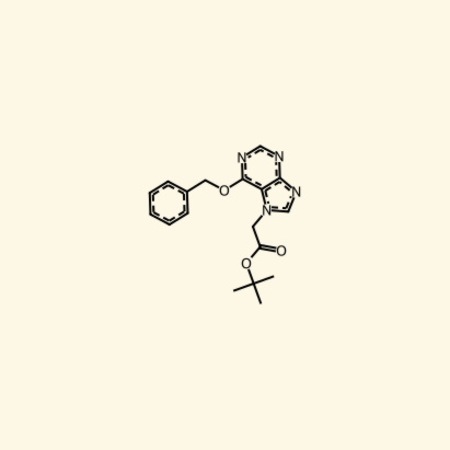 CC(C)(C)OC(=O)Cn1cnc2ncnc(OCc3ccccc3)c21